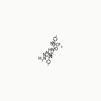 Cc1ccc(-c2nn(C(C)(C)CNC(=O)c3cnn(-c4ccc(C)cc4)c3C(F)(F)F)c3ncnc(N)c23)cc1